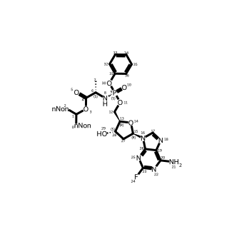 CCCCCCCCCC(CCCCCCCCC)OC(=O)[C@H](C)N[P@](=O)(OC[C@H]1O[C@@H](n2cnc3c(N)nc(F)nc32)C[C@@H]1O)Oc1ccccc1